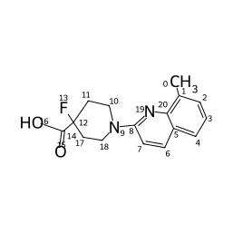 Cc1cccc2ccc(N3CCC(F)(C(=O)O)CC3)nc12